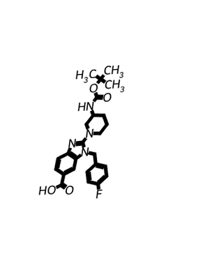 CC(C)(C)OC(=O)NC1CCCN(c2nc3ccc(C(=O)O)cc3n2Cc2ccc(F)cc2)C1